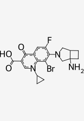 NC12CCC1CN(c1c(F)cc3c(=O)c(C(=O)O)cn(C4CC4)c3c1Br)C2